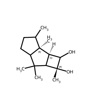 CC1CCC2C(C)(C)C3[C@H](C(O)[C@]3(C)O)[C@]12C